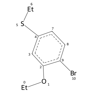 CCOc1cc(SCC)ccc1Br